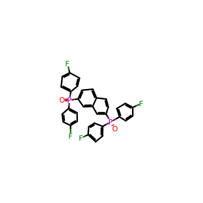 O=P(c1ccc(F)cc1)(c1ccc(F)cc1)c1ccc2ccc(P(=O)(c3ccc(F)cc3)c3ccc(F)cc3)cc2c1